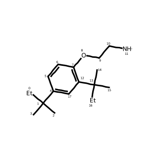 CCC(C)(C)c1ccc(OCC[NH])c(C(C)(C)CC)c1